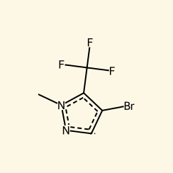 Cn1n[c]c(Br)c1C(F)(F)F